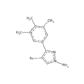 CC(=O)c1cn(P)nc1-c1cc(C)c(C)c(C)c1